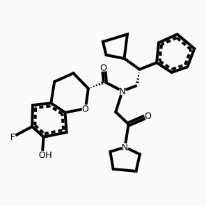 O=C(CN(C[C@@H](c1ccccc1)C1CCC1)C(=O)[C@H]1CCc2cc(F)c(O)cc2O1)N1CCCC1